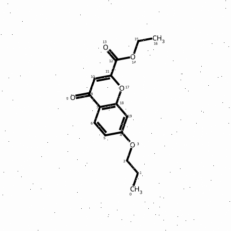 CCCOc1ccc2c(=O)cc(C(=O)OCC)oc2c1